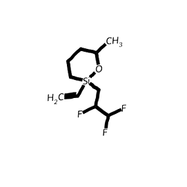 C=C[Si]1(CC(F)C(F)F)CCCC(C)O1